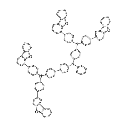 c1ccc(N(c2ccc(-c3ccc(N(c4ccc(-c5ccc6oc7ccccc7c6c5)cc4)c4ccc(-c5cccc6c5oc5ccccc56)cc4)cc3)cc2)c2ccc(N(c3ccc(-c4ccc5oc6ccccc6c5c4)cc3)c3ccc(-c4cccc5c4oc4ccccc45)cc3)cc2)cc1